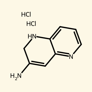 Cl.Cl.NC1=Cc2ncccc2NC1